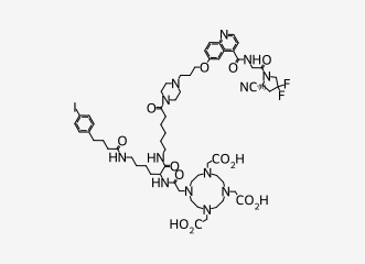 N#C[C@H]1CC(F)(F)CN1C(=O)CNC(=O)c1ccnc2ccc(OCCCN3CCN(C(=O)CCCCCNC(=O)C(CCCCNC(=O)CCCc4ccc(I)cc4)NC(=O)CN4CCN(CC(=O)O)CCN(CC(=O)O)CCN(CC(=O)O)CC4)CC3)cc12